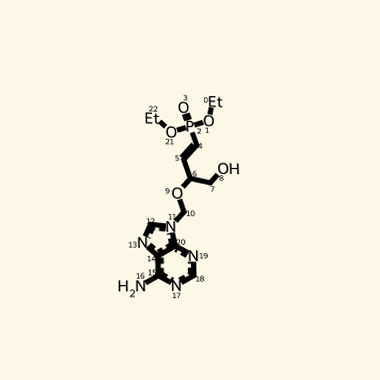 CCOP(=O)(C=CC(CO)OCn1cnc2c(N)ncnc21)OCC